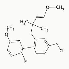 COC=CC(C)(C)Cc1cc(CCl)ccc1-c1cc(OC)ccc1F